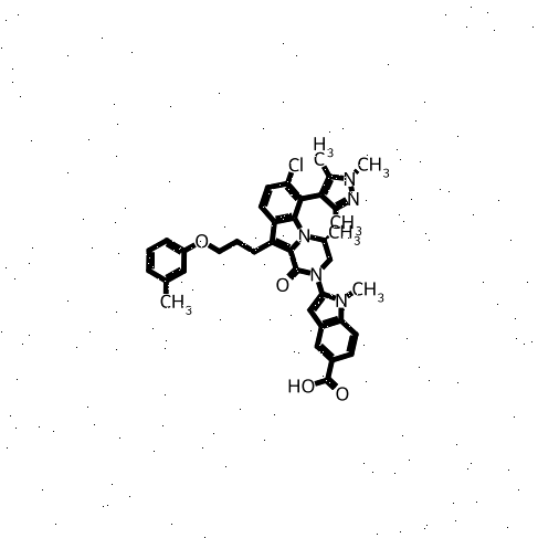 Cc1cccc(OCCCc2c3n(c4c(-c5c(C)nn(C)c5C)c(Cl)ccc24)[C@H](C)CN(c2cc4cc(C(=O)O)ccc4n2C)C3=O)c1